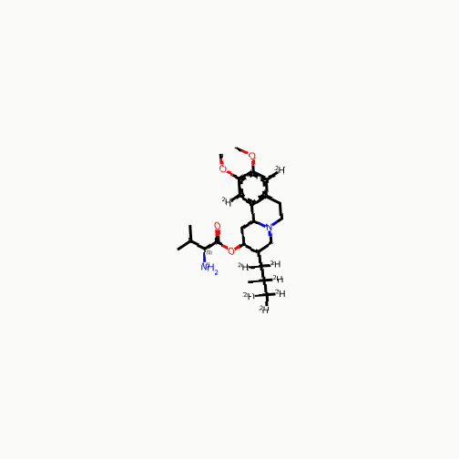 [2H]c1c2c(c([2H])c(OC)c1OC)C1CC(OC(=O)[C@@H](N)C(C)C)C(C([2H])([2H])C([2H])(C)C([2H])([2H])[2H])CN1CC2